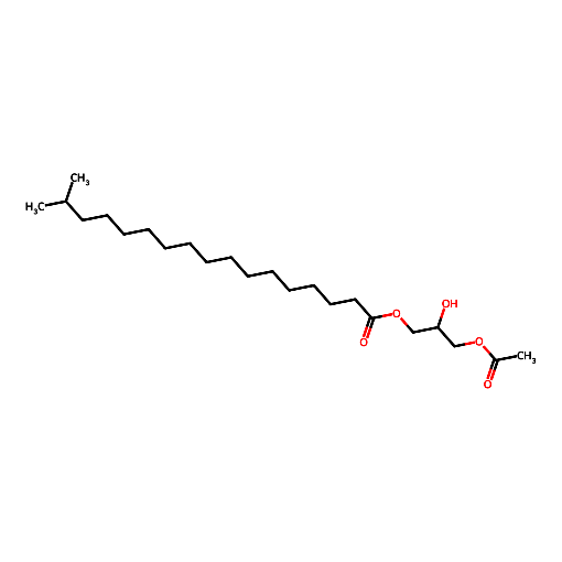 CC(=O)OCC(O)COC(=O)CCCCCCCCCCCCCCC(C)C